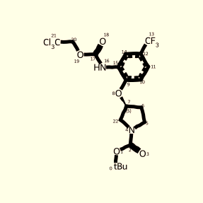 CC(C)(C)OC(=O)N1CC[C@H](Oc2ccc(C(F)(F)F)cc2NC(=O)OCC(Cl)(Cl)Cl)C1